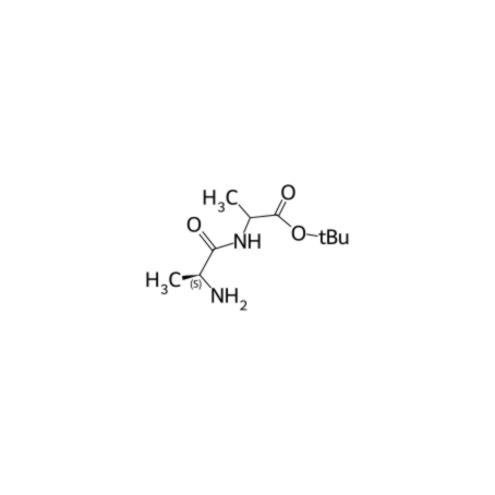 CC(NC(=O)[C@H](C)N)C(=O)OC(C)(C)C